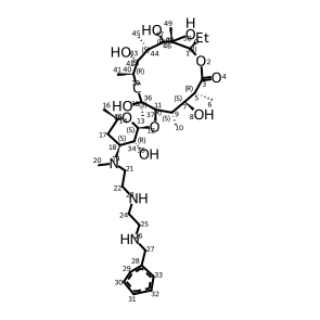 CC[C@H]1OC(=O)[C@H](C)[C@@H](O)[C@H](C)[C@@H](O[C@@H]2O[C@H](C)C[C@H](N(C)CCNCCNCc3ccccc3)[C@H]2O)[C@@](C)(O)C[C@@H](C)[C@H](O)[C@H](C)[C@@H](O)[C@]1(C)O